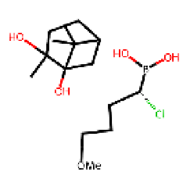 CC1(O)CCC2CC1(O)C2(C)C.COCCC[C@@H](Cl)B(O)O